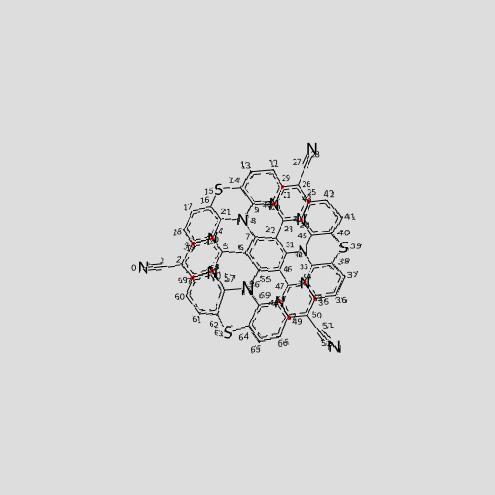 N#Cc1cnc(-c2c(N3c4ccccc4Sc4ccccc43)c(-c3ncc(C#N)cn3)c(N3c4ccccc4Sc4ccccc43)c(-c3ncc(C#N)cn3)c2N2c3ccccc3Sc3ccccc32)nc1